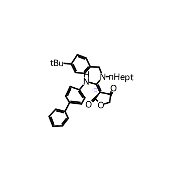 CCCCCCCN(Cc1ccc(C(C)(C)C)cc1)/C(Nc1ccc(-c2ccccc2)cc1)=C1\C(=O)COC1=O